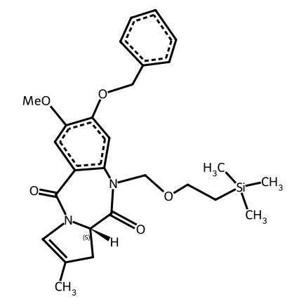 COc1cc2c(cc1OCc1ccccc1)N(COCC[Si](C)(C)C)C(=O)[C@@H]1CC(C)=CN1C2=O